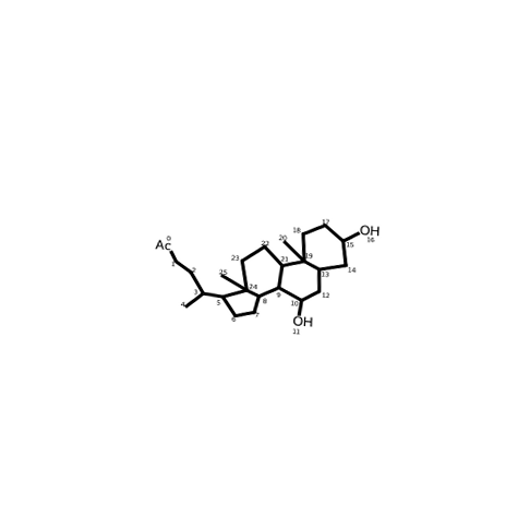 CC(=O)CCC(C)C1CCC2C3C(O)CC4CC(O)CCC4(C)C3CCC12C